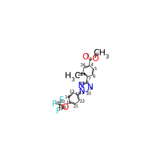 COC(=O)c1ccc(-c2ncn(-c3ccc(OC(F)(F)F)cc3)n2)c(C)c1